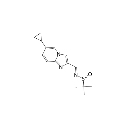 CC(C)(C)[S@@+]([O-])/N=C/c1cn2cc(C3CC3)ccc2n1